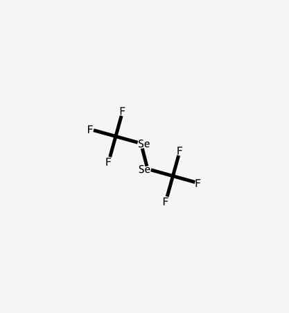 FC(F)(F)[Se][Se]C(F)(F)F